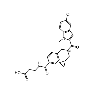 Cn1c(C(=O)[C@H](Cc2ccc(C(=O)NCCC(=O)O)cc2)CC2CC2)cc2cc(Cl)ccc21